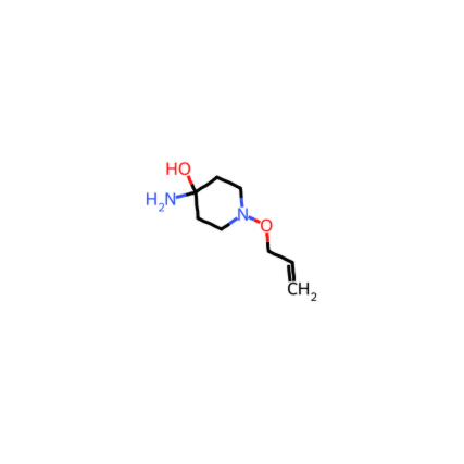 C=CCON1CCC(N)(O)CC1